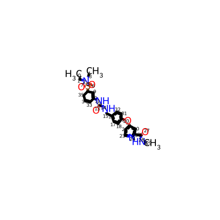 CCN(CC)S(=O)(=O)C1C=C(NC(=O)NCc2ccc(Oc3ccnc(C(=O)NC)c3)cc2)C=CC1